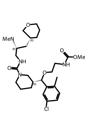 CN[C@@H](CNC(=O)N1CCC[C@@H](C(OCCNC(=O)OC)c2cc(Cl)ccc2C)C1)C[C@H]1CCCOC1